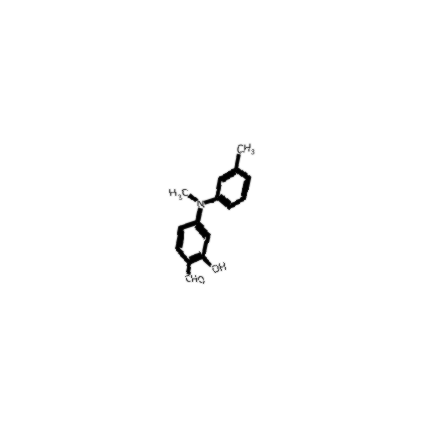 Cc1cccc(N(C)c2ccc(C=O)c(O)c2)c1